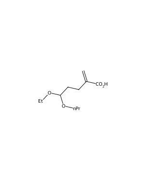 C=C(CCC(OCC)OCCC)C(=O)O